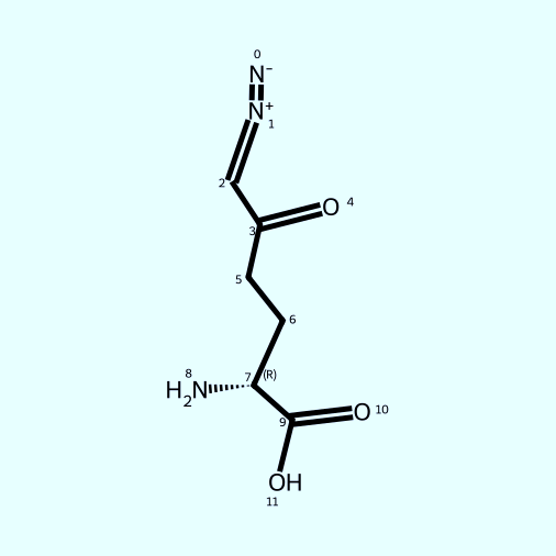 [N-]=[N+]=CC(=O)CC[C@@H](N)C(=O)O